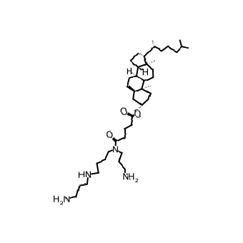 CC(C)CCC[C@@H](C)[C@H]1CC[C@H]2[C@@H]3CC=C4C[C@@H](OC(=O)CCCC(=O)N(CCCN)CCCCNCCCN)CC[C@]4(C)C3CC[C@]12C